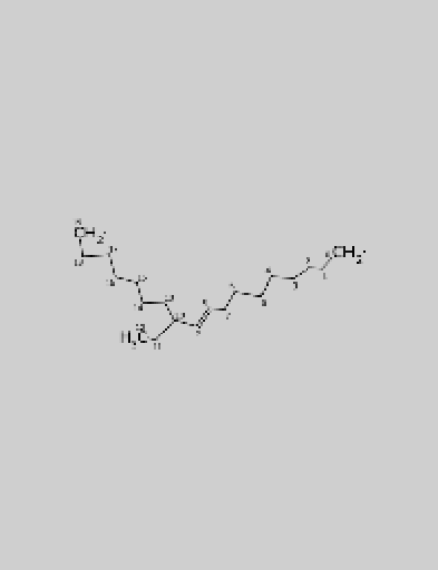 [CH2]CCCCCCCC=CC(CC)CCCCCC[CH2]